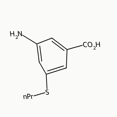 CCCSc1cc(N)cc(C(=O)O)c1